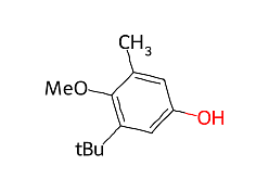 COc1c(C)cc(O)cc1C(C)(C)C